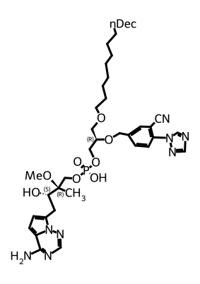 CCCCCCCCCCCCCCCCCCOC[C@H](COP(=O)(O)OC[C@@](C)(OC)[C@@H](O)Cc1ccc2c(N)ncnn12)OCc1ccc(-n2cncn2)c(C#N)c1